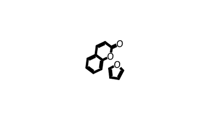 O=c1ccc2ccccc2o1.c1ccoc1